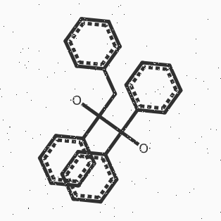 [O]C(Cc1ccccc1)(c1ccccc1)C([O])(c1ccccc1)c1ccccc1